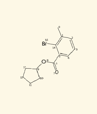 Cc1cccc(C(=O)OC2CCCC2)c1Br